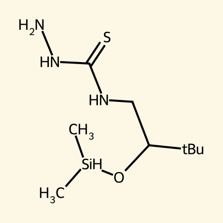 C[SiH](C)OC(CNC(=S)NN)C(C)(C)C